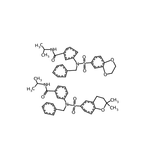 CC(C)NC(=O)c1cccc(N(Cc2ccccc2)S(=O)(=O)c2ccc3c(c2)CCC(C)(C)O3)c1.CC(C)NC(=O)c1cccc(N(Cc2ccccc2)S(=O)(=O)c2ccc3c(c2)OCCO3)c1